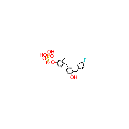 Cc1cc(OCS(=O)(=O)P(=O)(O)O)cc(C)c1Cc1ccc(O)c(Cc2ccc(F)cc2)c1